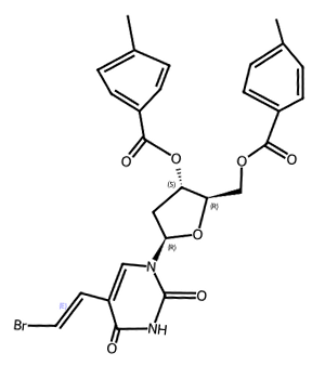 Cc1ccc(C(=O)OC[C@H]2O[C@@H](n3cc(/C=C/Br)c(=O)[nH]c3=O)C[C@@H]2OC(=O)c2ccc(C)cc2)cc1